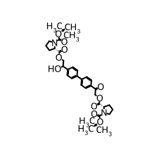 CC(C)(C)OC(=O)N1CCC[C@H]1C(=O)OCC(=O)c1ccc(-c2ccc(C(O)COC(=O)[C@@H]3CCCN3C(=O)OC(C)(C)C)cc2)cc1